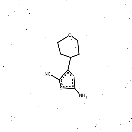 N#Cc1sc(N)nc1C1CCOCC1